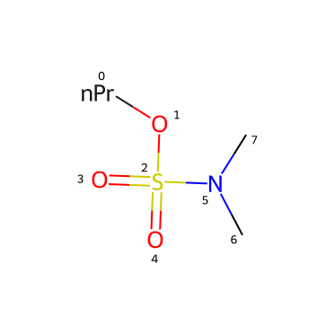 CCCOS(=O)(=O)N(C)C